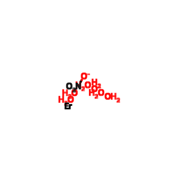 O.O.O.O.O.O.O=[N+]([O-])[O-].[Er]